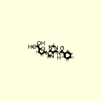 O=C(Nc1ncnc2c1ncn2C1CCC(C(O)O)O1)c1ccccc1